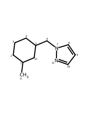 CC1CCCC(Cn2cccn2)C1